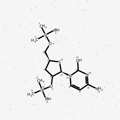 CC(C)(C)[Si](C)(C)OC[C@@H]1CC(O[Si](C)(C)C(C)(C)C)[C@H](N2C=CC(N)=NC2O)S1